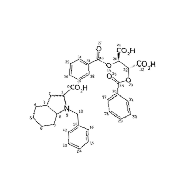 O=C(O)C1CC2CCCCC2N1Cc1ccccc1.O=C(O[C@@H](C(=O)O)[C@@H](OC(=O)c1ccccc1)C(=O)O)c1ccccc1